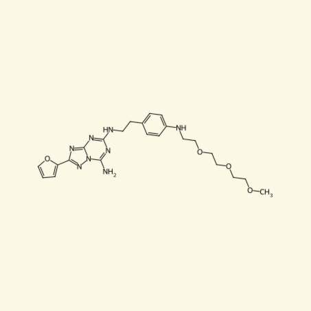 COCCOCCOCCNc1ccc(CCNc2nc(N)n3nc(-c4ccco4)nc3n2)cc1